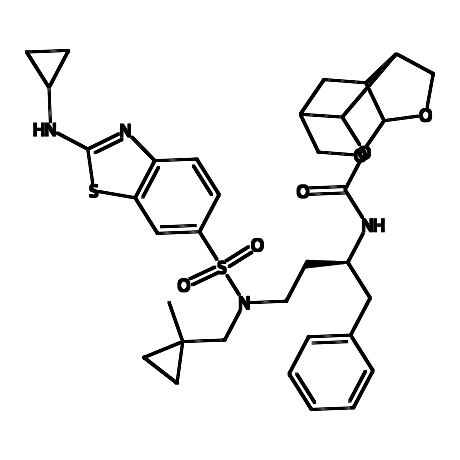 CC1(CN(CC[C@H](Cc2ccccc2)NC(=O)OC2C3COC4OCC2C4C3)S(=O)(=O)c2ccc3nc(NC4CC4)sc3c2)CC1